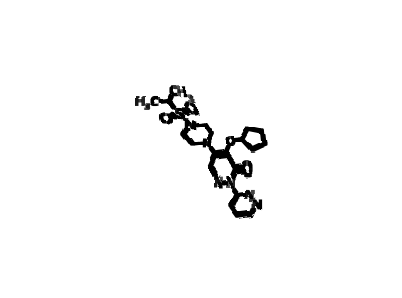 CC(C)S(=O)(=O)N1CCN(c2cnn(-c3cccnn3)c(=O)c2OC2CCCC2)CC1